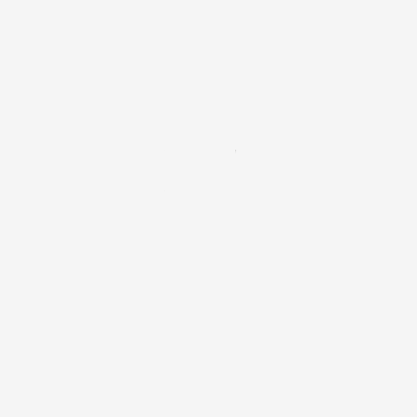 CC(C)=C(C)C(Cl)Cc1ccccc1